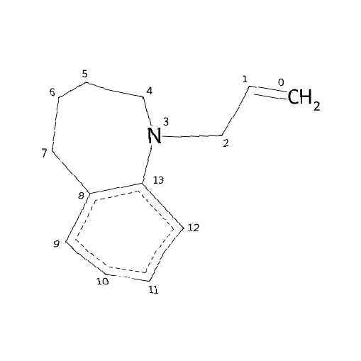 C=CCN1CCCCc2ccccc21